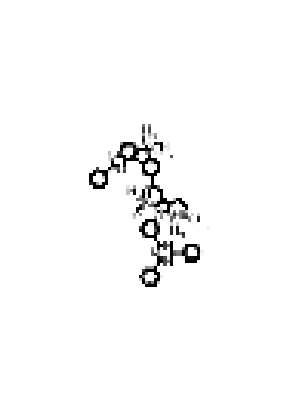 CB/C=C\c1c(/C=C(\C)c2ccc3c(c2)-c2c(ccc4nc(-c5ccccc5)oc24)C3(C)C)c(BC)n(-c2cccc(-c3nc(-c4ccccc4)nc(-c4ccccc4)n3)c2)c1C